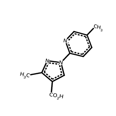 Cc1ccc(-n2cc(C(=O)O)c(C)n2)nc1